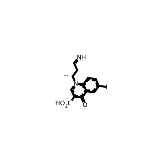 C[C@H](CC=N)n1cc(C(=O)O)c(=O)c2cc(I)ccc21